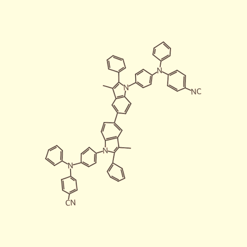 [C-]#[N+]c1ccc(N(c2ccccc2)c2ccc(-n3c(-c4ccccc4)c(C)c4cc(-c5ccc6c(c5)c(C)c(-c5ccccc5)n6-c5ccc(N(c6ccccc6)c6ccc(C#N)cc6)cc5)ccc43)cc2)cc1